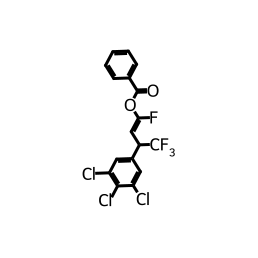 O=C(OC(F)=CC(c1cc(Cl)c(Cl)c(Cl)c1)C(F)(F)F)c1ccccc1